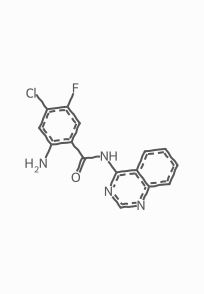 Nc1cc(Cl)c(F)cc1C(=O)Nc1ncnc2ccccc12